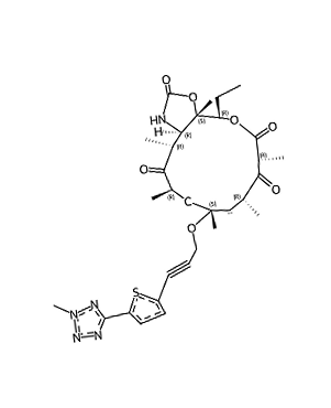 CC[C@H]1OC(=O)[C@H](C)C(=O)[C@H](C)[C][C@](C)(OCC#Cc2ccc(-c3nnn(C)n3)s2)C[C@@H](C)C(=O)[C@H](C)[C@H]2NC(=O)O[C@@]21C